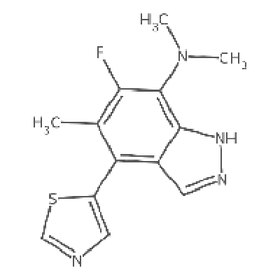 Cc1c(F)c(N(C)C)c2[nH]ncc2c1-c1cncs1